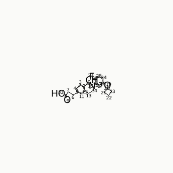 CC1c2ccc(CCC(=O)O)cc2CCN1c1cc(OC2CCC2)ccc1F